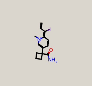 C=C/C(I)=C1/C=CC(C2(C(N)=O)CCC2)=CN1C